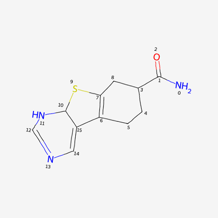 NC(=O)C1CCC2=C(C1)SC1NC=NC=C21